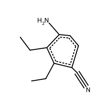 CCc1c(N)ccc(C#N)c1CC